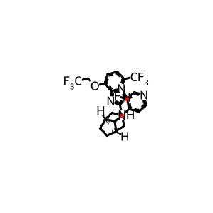 Fc1cnccc1N1C[C@H]2CC[C@@H](C1)C2Nc1nc2c(OCC(F)(F)F)ccc(C(F)(F)F)n2n1